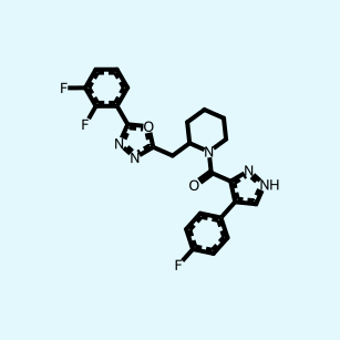 O=C(c1n[nH]cc1-c1ccc(F)cc1)N1CCCCC1Cc1nnc(-c2cccc(F)c2F)o1